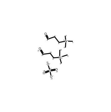 C[N+](C)(C)CCC=O.C[N+](C)(C)CCC=O.O=S(=O)([O-])[O-]